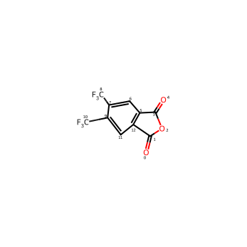 O=C1OC(=O)c2cc(C(F)(F)F)c(C(F)(F)F)cc21